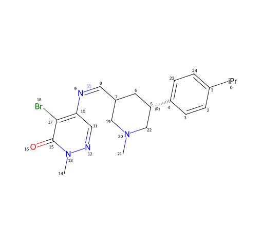 CC(C)c1ccc([C@H]2CC(/C=N\c3cnn(C)c(=O)c3Br)CN(C)C2)cc1